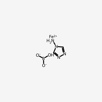 Nn1cnnc1.[Fe+2].[O-]B([O-])O